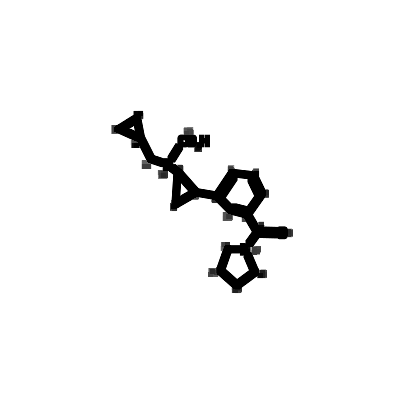 O=C(c1cccc(C2CC2N(CC2CC2)C(=O)O)c1)N1CCCC1